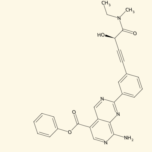 CCN(C)C(=O)[C@H](O)C#Cc1cccc(-c2ncc3c(C(=O)Oc4ccccc4)cnc(N)c3n2)c1